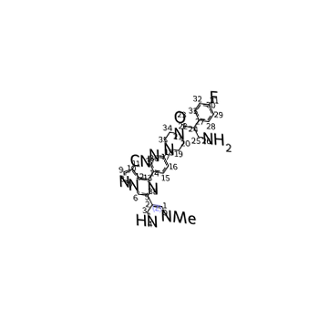 CN/C=C(\C=N)c1cn2ncc(C#N)c2c(-c2ccc(N3CCN(C(=O)C(CN)c4ccc(F)cc4)CC3)nc2)n1